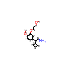 COCCCOc1cc(C(CN)C2CCC2)ccc1OC